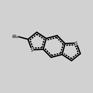 CCC(C)c1cc2cc3sccc3cc2s1